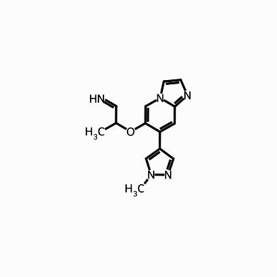 CC(C=N)Oc1cn2ccnc2cc1-c1cnn(C)c1